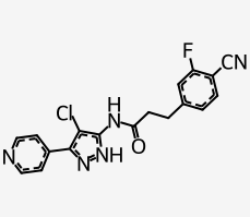 N#Cc1ccc(CCC(=O)Nc2[nH]nc(-c3ccncc3)c2Cl)cc1F